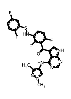 Cc1nn(C)cc1Nc1ncnc2[nH]cc(C(=O)c3c(F)ccc(NSc4cc(F)ccc4F)c3F)c12